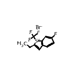 CCc1cc2ccc(F)cc2[s+]1C(F)(F)F.[Br-]